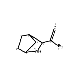 NC(=O)C1NC2CCC1C2